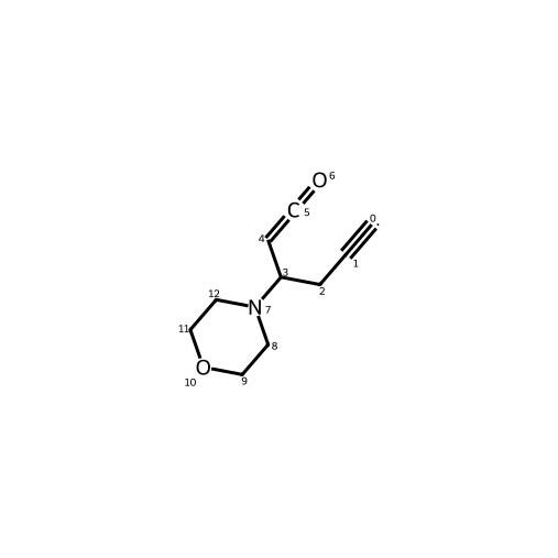 [C]#CCC(C=C=O)N1CCOCC1